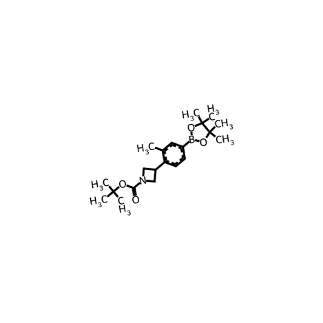 Cc1cc(B2OC(C)(C)C(C)(C)O2)ccc1C1CN(C(=O)OC(C)(C)C)C1